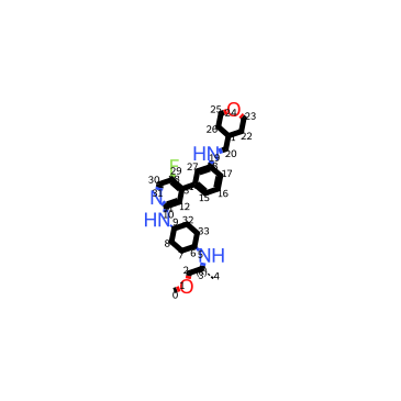 COC[C@@H](C)N[C@H]1CC[C@H](Nc2cc(-c3cccc(NCC4CCOCC4)c3)c(F)cn2)CC1